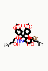 CC(C)C[C@@H](O)COc1cc2c(cc1C1(c3cc4c(cc3OC[C@H](O)CC(C)C)OCO4)C(=O)Nc3ccc(Br)cc31)OCO2